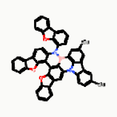 CC(C)(C)c1ccc2c(c1)c1cc(C(C)(C)C)cc3c1n2-c1cc2c(oc4ccccc42)c2c1B3N(c1cccc3c1oc1ccccc13)c1ccc3c(oc4ccccc43)c1-2